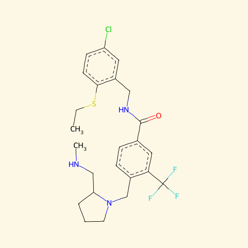 CCSc1ccc(Cl)cc1CNC(=O)c1ccc(CN2CCCC2CNC)c(C(F)(F)F)c1